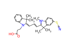 C[N+]1=C(/C=C/C=C2/N(CCC(=O)O)c3ccccc3C2(C)C)C(C)(C)c2cc(SC#N)ccc21